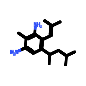 CC(C)=Cc1c(C(C)CC(C)C)cc(N)c(C)c1N